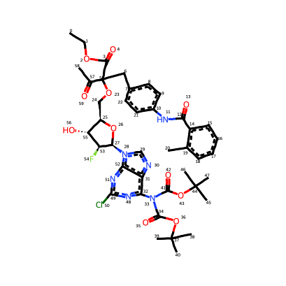 CCOC(=O)C(Cc1ccc(NC(=O)c2ccccc2C)cc1)(OC[C@H]1O[C@@H](n2cnc3c(N(C(=O)OC(C)(C)C)C(=O)OC(C)(C)C)nc(Cl)nc32)[C@@H](F)[C@@H]1O)C(C)=O